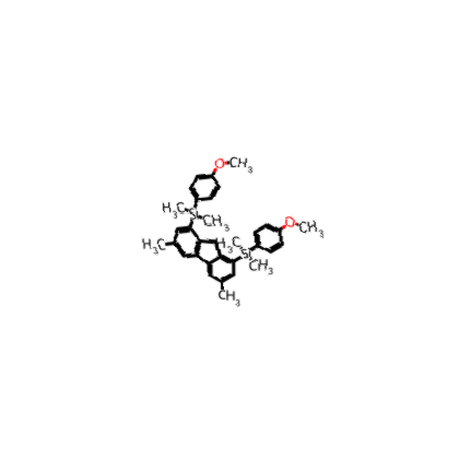 COc1ccc([Si](C)(C)c2cc(C)cc3c2Cc2c-3cc(C)cc2[Si](C)(C)c2ccc(OC)cc2)cc1